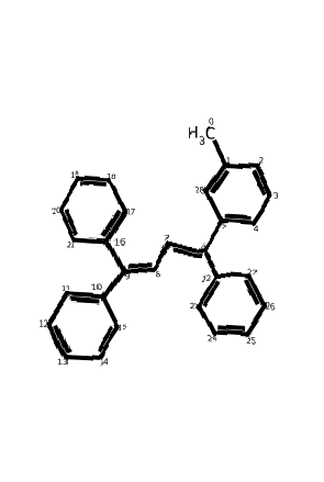 Cc1cccc(C(=CC=C(c2ccccc2)c2ccccc2)c2ccccc2)c1